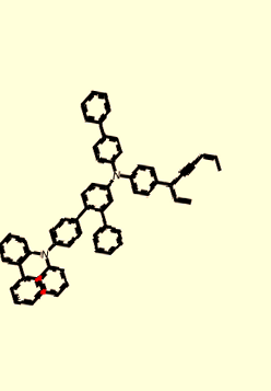 C=CC(C#C/C=C\C)c1ccc(N(c2ccc(-c3ccccc3)cc2)c2ccc(-c3ccc(N(c4ccccc4)c4ccccc4-c4ccccc4)cc3)c(-c3ccccc3)c2)cc1